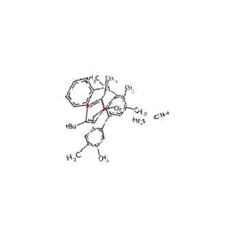 Cl.Cl.[CH2]=[Zr]([CH3])([C]1=CC(C(C)(C)C)=CC1C)([c]1ccccc1)[c]1c(C)c(C)cc2c1Cc1cc(C)c(C)cc1-2